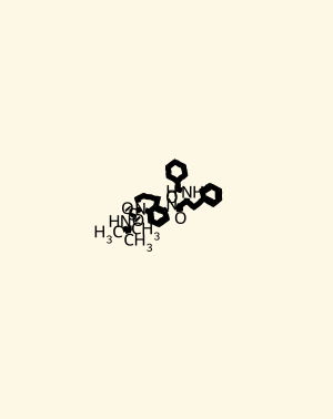 CC(C)(C)NS(=O)(=O)N1CCCc2c(NC(=O)C(Cc3ccccc3)NC(=O)C3CCCCC3)cccc21